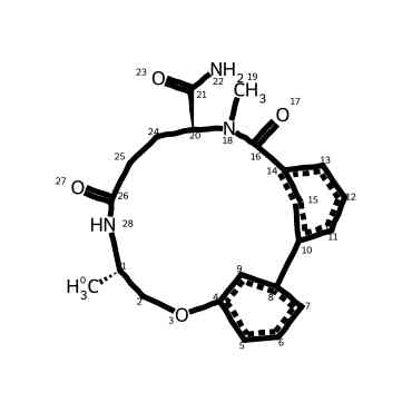 C[C@H]1COc2cccc(c2)-c2cccc(c2)C(=O)N(C)[C@H](C(N)=O)CCC(=O)N1